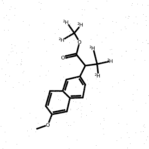 [2H]C([2H])([2H])OC(=O)C(c1ccc2cc(OC)ccc2c1)C([2H])([2H])[2H]